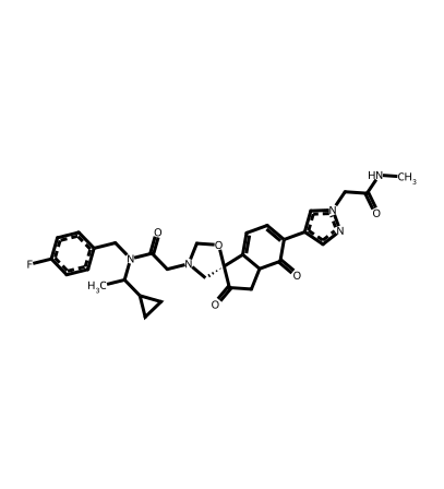 CNC(=O)Cn1cc(C2=CC=C3C(CC(=O)[C@]34CN(CC(=O)N(Cc3ccc(F)cc3)C(C)C3CC3)CO4)C2=O)cn1